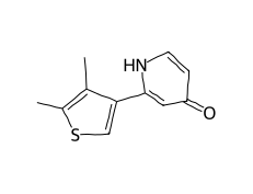 Cc1scc(-c2cc(=O)cc[nH]2)c1C